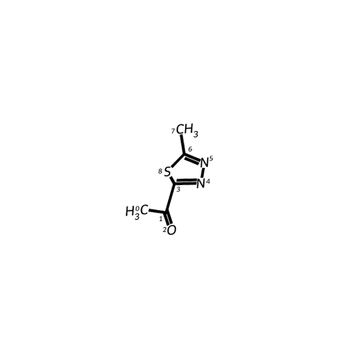 CC(=O)c1nnc(C)s1